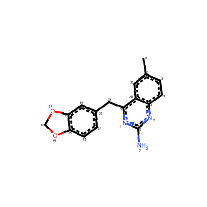 Cc1ccc2nc(N)nc(Cc3ccc4c(c3)OCO4)c2c1